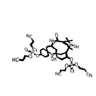 CC1(C)C2=CC(C)(C3CC4(CCC3OP(=O)(OCCC#N)OCCC#N)CC(CC3(CCC(OP(=O)(OCCC#N)OCCC#N)CC3)N4O)NC2=O)N1O